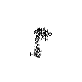 Cc1cc(=O)[nH]c(C)c1C(=O)NC(CCOCCCCc1ccc2c(n1)NCCC2)C(=O)O